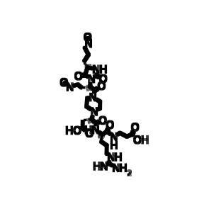 N=C(N)NCCC[C@@H](NC(=O)[C@H](CC(=O)O)N1CCN(C(=O)[C@H](CCN=O)N2C(=O)N[C@@H](CCCN=O)C2=O)CC1)C(=O)NCCC(=O)O